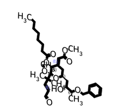 CCCCCCCC(=O)O[C@H]1/C(=C/C(=O)OC)C[C@@H](C[C@@H](O)[C@@H](C)OCc2ccccc2)O[C@@]1(OC)C(C)(C)/C=C/C=O